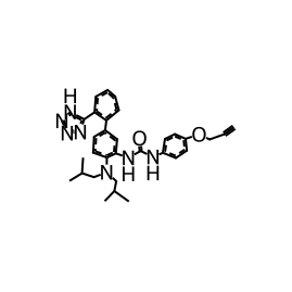 C#CCOc1ccc(NC(=O)Nc2cc(-c3ccccc3-c3nnn[nH]3)ccc2N(CC(C)C)CC(C)C)cc1